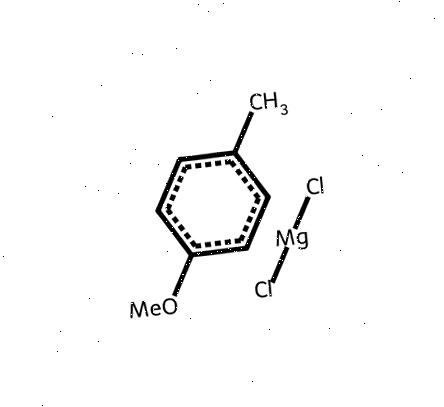 COc1ccc(C)cc1.[Cl][Mg][Cl]